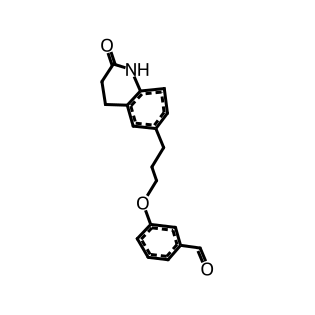 O=Cc1cccc(OCCCc2ccc3c(c2)CCC(=O)N3)c1